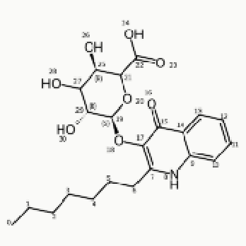 CCCCCCCc1[nH]c2ccccc2c(=O)c1O[C@@H]1OC(C(=O)O)[C@H](O)C(O)[C@H]1O